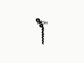 CCCCCCCCSCCCSc1ccc(-n2nc3ccccc3n2)c(O)c1